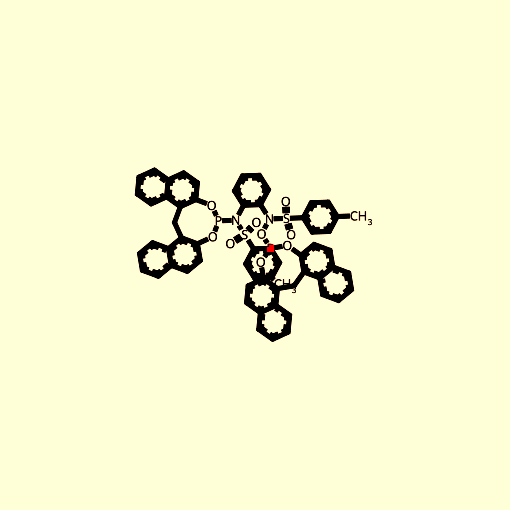 Cc1ccc(S(=O)(=O)N(OP2Oc3ccc4ccccc4c3Cc3c(ccc4ccccc34)O2)c2ccccc2N(P2Oc3ccc4ccccc4c3Cc3c(ccc4ccccc34)O2)S(=O)(=O)c2ccc(C)cc2)cc1